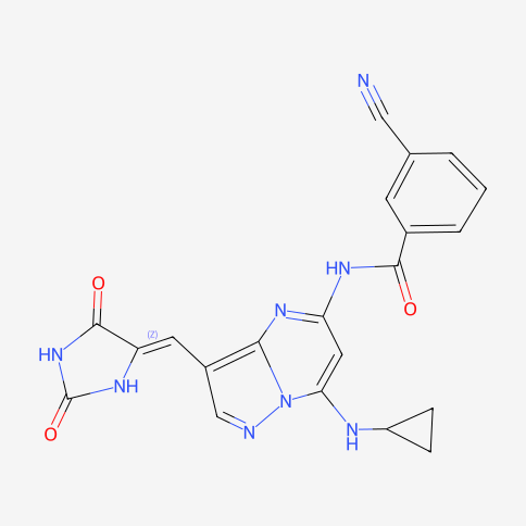 N#Cc1cccc(C(=O)Nc2cc(NC3CC3)n3ncc(/C=C4\NC(=O)NC4=O)c3n2)c1